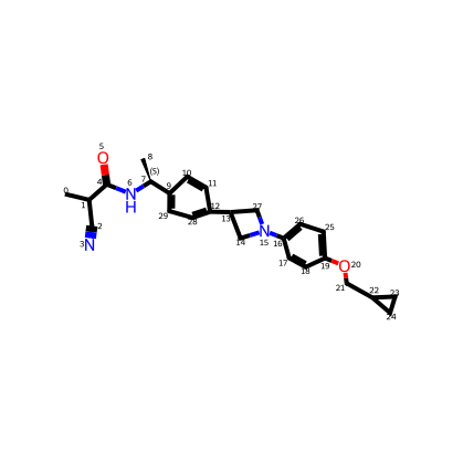 CC(C#N)C(=O)N[C@@H](C)c1ccc(C2CN(c3ccc(OCC4CC4)cc3)C2)cc1